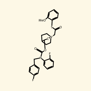 COc1ccccc1SC(=O)C[N+]12CCC(CC1)C(OC(=O)N(Cc1ccc(F)cc1)c1ccccc1F)C2